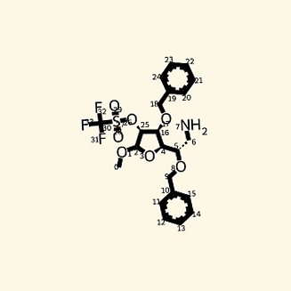 COC1O[C@H]([C@H](CN)OCc2ccccc2)[C@H](OCc2ccccc2)[C@H]1OS(=O)(=O)C(F)(F)F